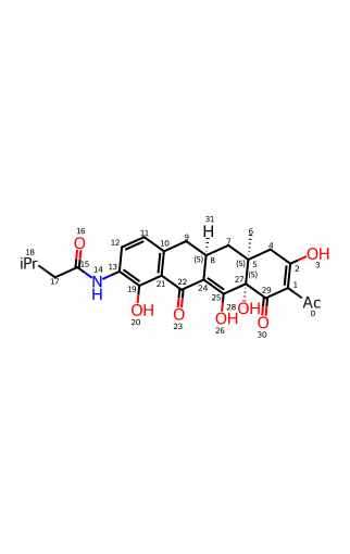 CC(=O)C1=C(O)C[C@]2(C)C[C@@H]3Cc4ccc(NC(=O)CC(C)C)c(O)c4C(=O)C3=C(O)[C@]2(O)C1=O